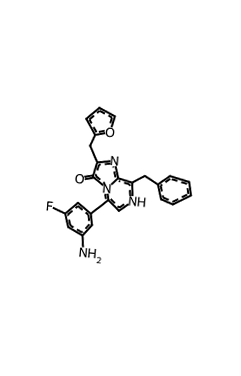 Nc1cc(F)cc(-c2c[nH]c(Cc3ccccc3)c3nc(Cc4ccco4)c(=O)n2-3)c1